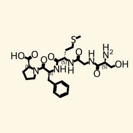 CSCC[C@H](NC(=O)CNC(=O)[C@@H](N)CO)C(=O)N[C@@H](Cc1ccccc1)C(=O)N1CCC[C@H]1C(=O)O